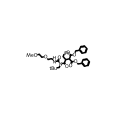 COCCOCCNC(=O)N(CC(C)(C)C)C(=O)C(CC(C)C)C(C(=O)OCc1ccccc1)C(=O)OCc1ccccc1